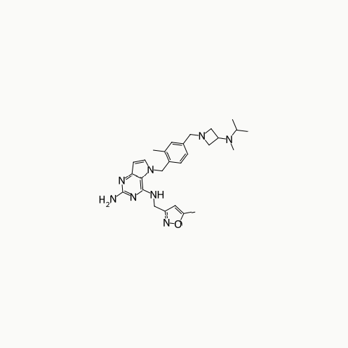 Cc1cc(CNc2nc(N)nc3ccn(Cc4ccc(CN5CC(N(C)C(C)C)C5)cc4C)c23)no1